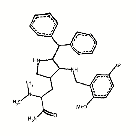 CCCc1ccc(OC)c(CNC2C(CC(C(N)=O)N(C)C)CNC2C(c2ccccc2)c2ccccc2)c1